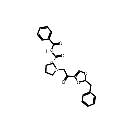 O=C(CN1CCC[C@@H]1C(=O)NC(=O)c1ccccc1)C1=COC(Cc2ccccc2)O1